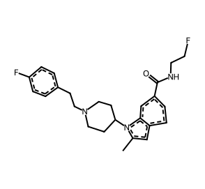 Cc1cc2ccc(C(=O)NCCF)cc2n1C1CCN(CCc2ccc(F)cc2)CC1